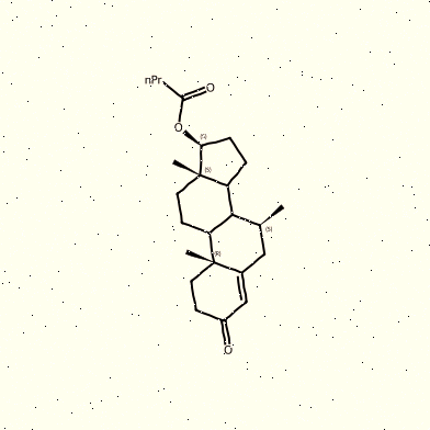 CCCC(=O)O[C@H]1CCC2C3C(CC[C@@]21C)[C@@]1(C)CCC(=O)C=C1C[C@@H]3C